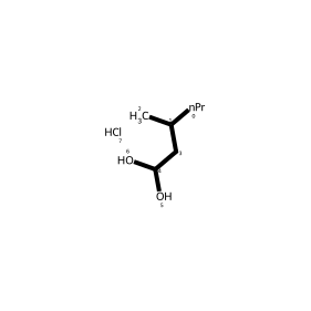 CCCC(C)CC(O)O.Cl